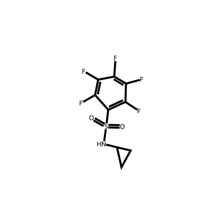 O=S(=O)(NC1CC1)c1c(F)c(F)c(F)c(F)c1F